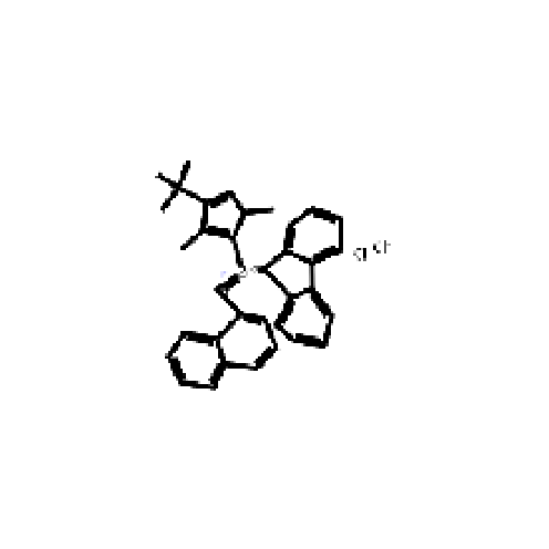 CC1=[C](/[Zr+2](=[CH]/c2cccc3ccccc23)[CH]2c3ccccc3-c3ccccc32)C(C)C=C1C(C)(C)C.[Cl-].[Cl-]